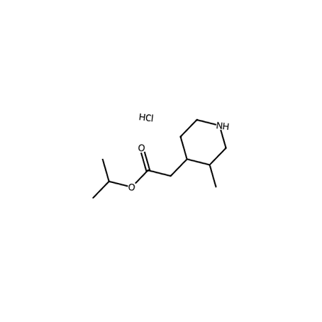 CC(C)OC(=O)CC1CCNCC1C.Cl